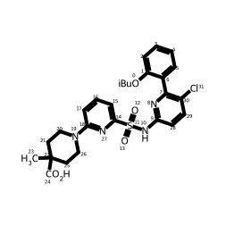 CC(C)COc1ccccc1-c1nc(NS(=O)(=O)c2cccc(N3CCC(C)(C(=O)O)CC3)n2)ccc1Cl